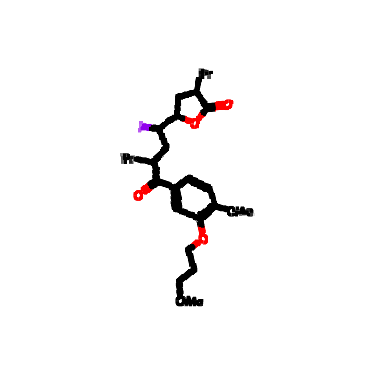 COCCCOc1cc(C(=O)C(CC(I)C2CC(C(C)C)C(=O)O2)C(C)C)ccc1OC